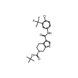 CC(C)(C)OC(=O)N1CCc2c(C(=O)Nc3ccc(Cl)c(C(F)(F)F)c3)csc2C1